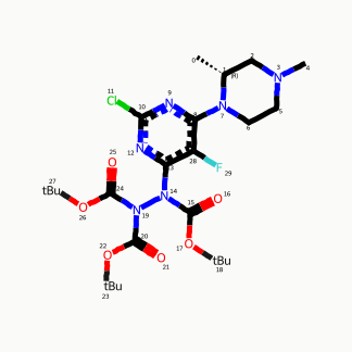 C[C@@H]1CN(C)CCN1c1nc(Cl)nc(N(C(=O)OC(C)(C)C)N(C(=O)OC(C)(C)C)C(=O)OC(C)(C)C)c1F